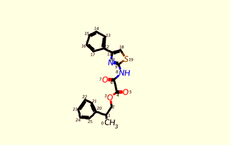 CC(COC(=O)C(=O)Nc1nc(-c2ccccc2)cs1)c1ccccc1